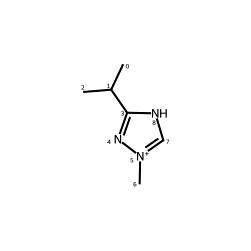 CC(C)c1n[n+](C)c[nH]1